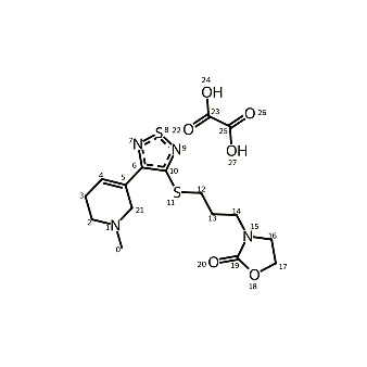 CN1CCC=C(c2nsnc2SCCCN2CCOC2=O)C1.O=C(O)C(=O)O